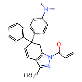 C=CC(=O)n1nc(C(=O)O)c2c1CC(c1ccccc1)(c1ccc(N(C)C)cc1)C=C2